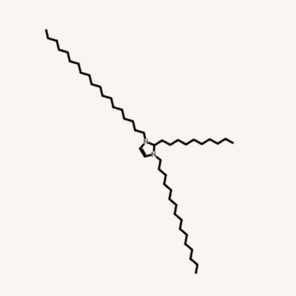 CCCCCCCCCCCCCCCCCCCN1C=CN(CCCCCCCCCCCCCCCC)C1CCCCCCCCCC